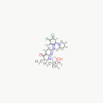 Cc1cn([C@H](CO)C(C)(C)C)c2nc(NCc3ccccn3)c(Cc3cccc(Cl)c3F)cc2c1=O